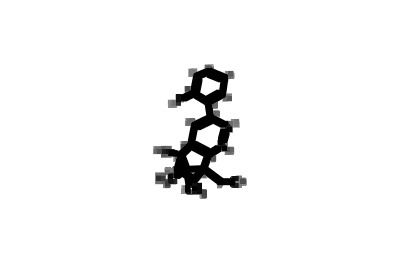 CC1(C)[C@@H]2CCC1(CCl)c1nnc(-c3ccccc3F)cc12